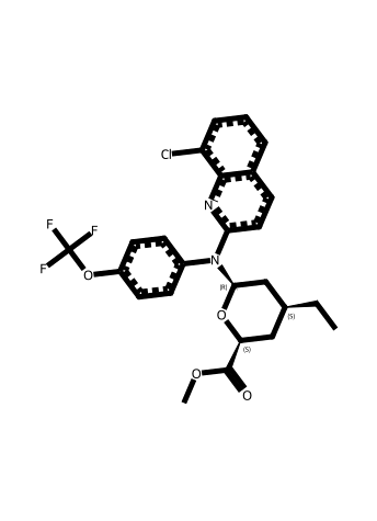 CC[C@H]1C[C@@H](C(=O)OC)O[C@@H](N(c2ccc(OC(F)(F)F)cc2)c2ccc3cccc(Cl)c3n2)C1